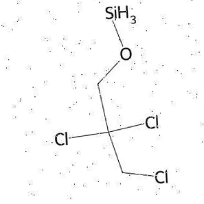 [SiH3]OCC(Cl)(Cl)CCl